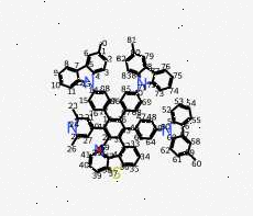 Cc1ccc2c(c1)c1ccccc1n2-c1ccc(-c2c(-c3cc(C)nc(C)c3)c(C#N)c(-c3cccc4sc5ccccc5c34)c(-c3ccc(-n4c5ccccc5c5cc(C)ccc54)cc3)c2-c2ccc(-n3c4ccccc4c4cc(C)ccc43)cc2)cc1